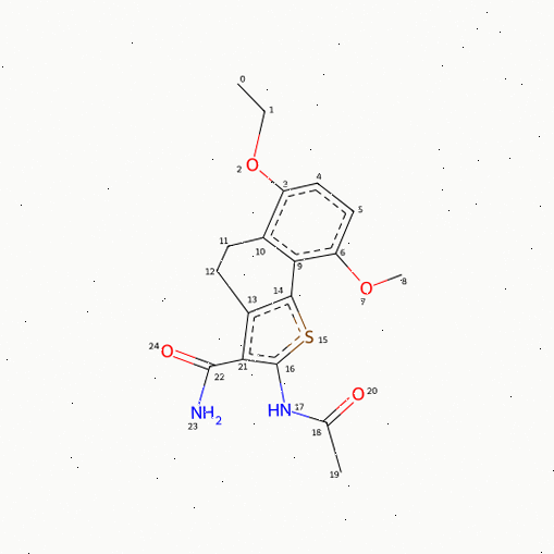 CCOc1ccc(OC)c2c1CCc1c-2sc(NC(C)=O)c1C(N)=O